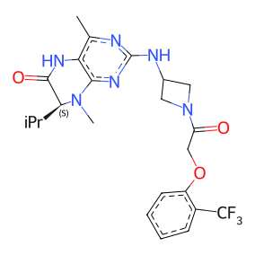 Cc1nc(NC2CN(C(=O)COc3ccccc3C(F)(F)F)C2)nc2c1NC(=O)[C@H](C(C)C)N2C